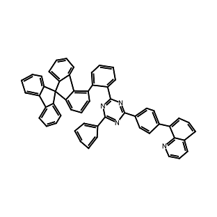 c1ccc(-c2nc(-c3ccc(-c4cccc5cccnc45)cc3)nc(-c3ccccc3-c3cccc4c3-c3ccccc3C43c4ccccc4-c4ccccc43)n2)cc1